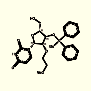 COCCO[C@@H]1[C@H](O[Si](c2ccccc2)(c2ccccc2)C(C)(C)C)[C@@H](CO)O[C@H]1n1ccc(=O)[nH]c1=O